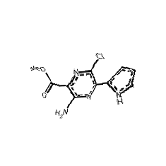 COC(=O)c1nc(Cl)c(-c2ccc[nH]2)nc1N